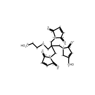 O=CC1=CC(=O)N(CC(COCCC(=O)O)(CN2C(=O)C=CC2=O)CN2C(=O)C=CC2=O)C1